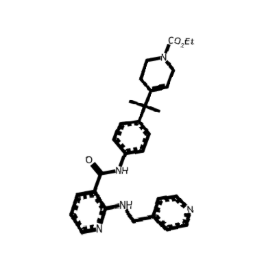 CCOC(=O)N1CC=C(C(C)(C)c2ccc(NC(=O)c3cccnc3NCc3ccncc3)cc2)CC1